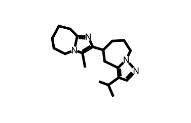 Cc1c(C2CCCn3ncc(C(C)C)c3C2)nc2n1CCCCC2